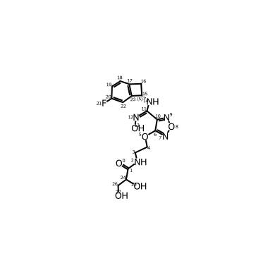 O=C(NCCOc1nonc1C(=NO)N[C@H]1Cc2ccc(F)cc21)C(O)CO